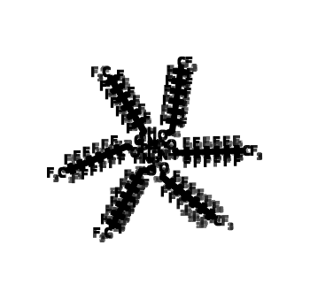 FC(F)(F)C(F)(F)C(F)(F)C(F)(F)C(F)(F)C(F)(F)C(F)(F)CO[PH]1(OCC(F)(F)C(F)(F)C(F)(F)C(F)(F)C(F)(F)C(F)(F)C(F)(F)F)N[PH](OCC(F)(F)C(F)(F)C(F)(F)C(F)(F)C(F)(F)C(F)(F)C(F)(F)F)(OCC(F)(F)C(F)(F)C(F)(F)C(F)(F)C(F)(F)C(F)(F)C(F)(F)F)N[PH](OCC(F)(F)C(F)(F)C(F)(F)C(F)(F)C(F)(F)C(F)(F)C(F)(F)F)(OCC(F)(F)C(F)(F)C(F)(F)C(F)(F)C(F)(F)C(F)(F)C(F)(F)F)N1